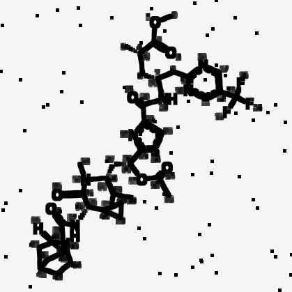 COC(=O)[C@@H](C)C[C@H](Cc1ncc(C(F)(F)F)cn1)NC(=O)c1csc([C@@H](C[C@H](C(C)C)N(C)C(=O)[C@@H](NC(=O)[C@H]2CC3CCN2CC3)C2CC2)OC(C)=O)n1